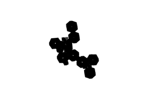 CC1CC=CC2=C1C1C=C(C3=CCC4(C)C(=C3)c3ccccc3N4c3ccccc3)C=C[C@@]1(C)N2c1nc(-c2cccc(-c3ccccc3)c2)nc2c1OC1C=CC=CC21